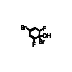 OC1(Br)C(F)=CC(Br)=CC1F